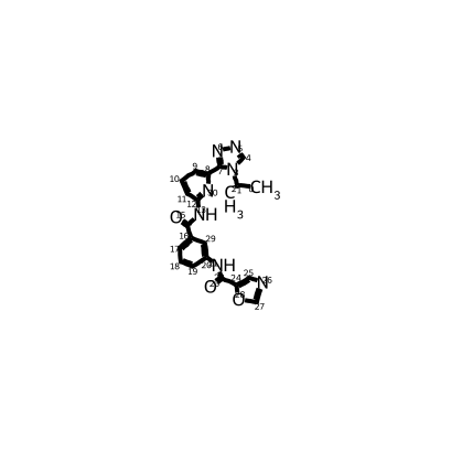 CC(C)n1cnnc1-c1cccc(NC(=O)c2cccc(NC(=O)c3cnco3)c2)n1